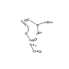 C=COC=O.CCCCN(C=O)CCCC.NC=O